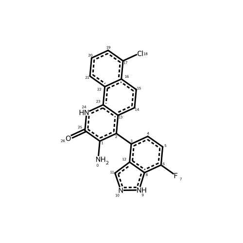 Nc1c(-c2ccc(F)c3[nH]ncc23)c2ccc3c(Cl)cccc3c2[nH]c1=O